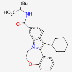 CC(C)(C)C(NC(=O)c1ccc2c(C3CCCCC3)c3n(c2c1)CCOc1ccccc1-3)C(=O)O